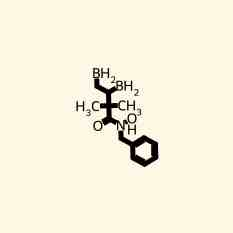 BCC(B)C(C)(C)C(=O)N(O)Cc1ccccc1